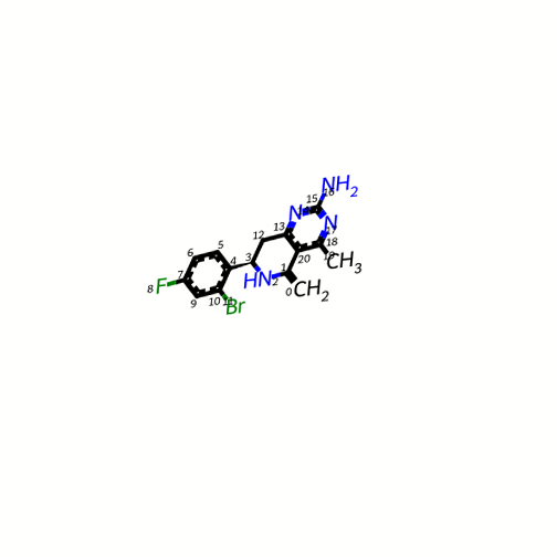 C=C1N[C@@H](c2ccc(F)cc2Br)Cc2nc(N)nc(C)c21